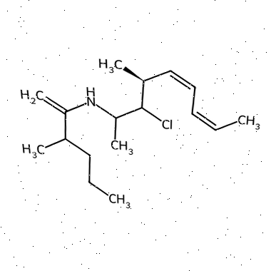 C=C(NC(C)C(Cl)[C@@H](C)/C=C\C=C/C)C(C)CCC